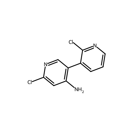 Nc1cc(Cl)ncc1-c1cccnc1Cl